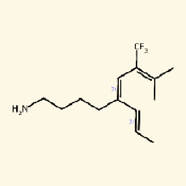 C/C=C/C(=C\C(=C(C)C)C(F)(F)F)CCCCN